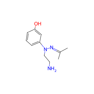 CC(C)=NN(CCN)c1cccc(O)c1